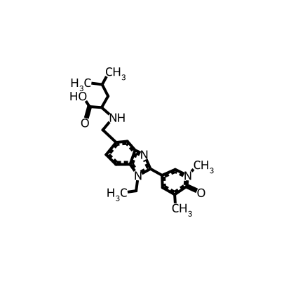 CCn1c(-c2cc(C)c(=O)n(C)c2)nc2cc(CNC(CC(C)C)C(=O)O)ccc21